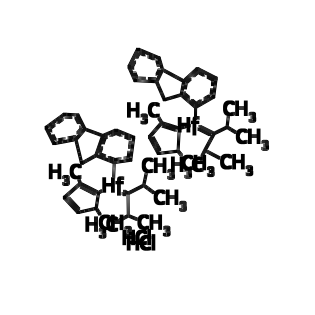 CC1=[C]([Hf](=[C](C(C)C)C(C)C)[c]2cccc3c2Cc2ccccc2-3)C(C)C=C1.CC1=[C]([Hf](=[C](C(C)C)C(C)C)[c]2cccc3c2Cc2ccccc2-3)C(C)C=C1.Cl.Cl